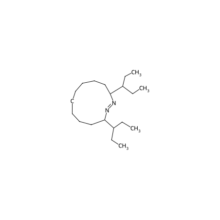 CCC(CC)C1CCCCCCCCC(C(CC)CC)/N=N/1